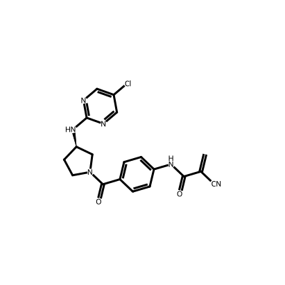 C=C(C#N)C(=O)Nc1ccc(C(=O)N2CC[C@@H](Nc3ncc(Cl)cn3)C2)cc1